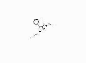 COCCNc1nc(-c2ccccc2)c2c(N)c(C(N)=O)sc2n1